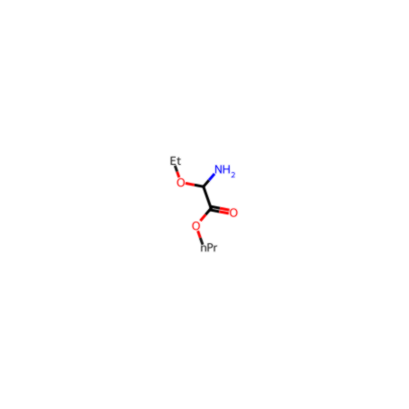 CCCOC(=O)C(N)OCC